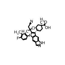 Cc1cc(-n2c(C(C)(C)CC#N)c([C@H]3CC[C@](C)(C(=O)O)CC3)c3cc4[nH]ncc4cc32)ccc1F